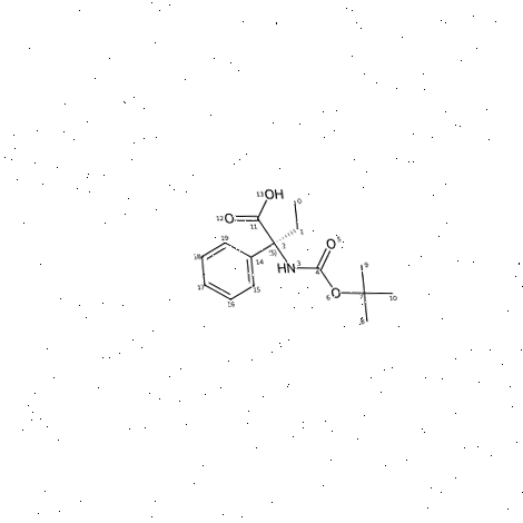 CC[C@@](NC(=O)OC(C)(C)C)(C(=O)O)c1ccccc1